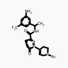 CC(=O)N1CC=C(n2nc(C(=O)NC(C)c3cc(N)cc(C(F)(F)F)c3)ccc2=O)CC1